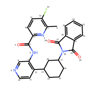 Cc1nc(C(=O)Nc2cnccc2C2CCCC(N3C(=O)c4ccccc4C3=O)C2)ccc1F